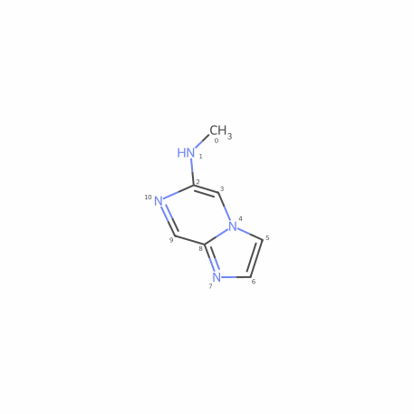 CNc1cn2ccnc2cn1